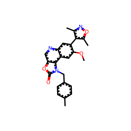 COc1cc2c(cc1-c1c(C)noc1C)ncc1oc(=O)n(Cc3ccc(C)cc3)c12